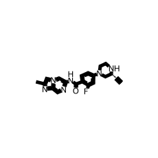 C#C[C@@H]1CN(c2ccc(C(=O)Nc3cn4cc(C)nc4cn3)c(F)c2)CCN1